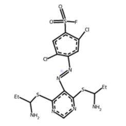 CCC(N)Sc1ncnc(SC(N)CC)c1/N=N/c1cc(Cl)c(S(=O)(=O)F)cc1Cl